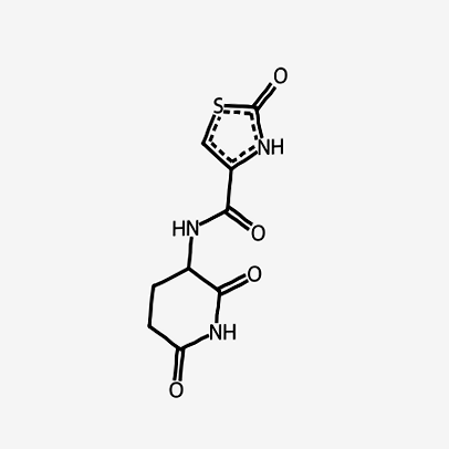 O=C1CCC(NC(=O)c2csc(=O)[nH]2)C(=O)N1